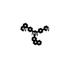 c1cncc(-c2ccc(-c3cc(-c4ccc(-c5cccc6cccnc56)cc4)nc(-c4ccc5ccc6ccccc6c5c4)n3)cc2)c1